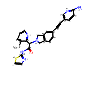 COc1cccnc1C(C(=O)Nc1nccs1)N1Cc2ccc(C#Cc3ccc(N)nc3)cc2C1